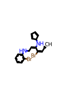 C#C/C=C(Br)\C(=C/CNc1ccccc1Br)NC1C=CC=C1